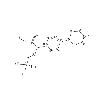 COC(=O)C(OCC(F)(F)F)c1ccc(N2CCOCC2)cc1